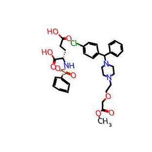 COC(=O)COCCN1CCN(C(c2ccccc2)c2ccc(Cl)cc2)CC1.O=C(O)CC[C@H](NS(=O)(=O)c1ccccc1)C(=O)O